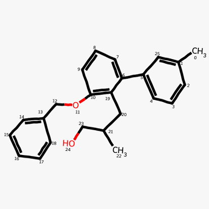 Cc1cccc(-c2cccc(OCc3ccccc3)c2CC(C)CO)c1